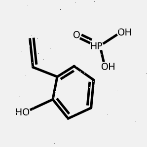 C=Cc1ccccc1O.O=[PH](O)O